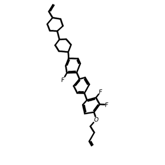 C=CCCOc1ccc(-c2ccc(-c3ccc(C4CCC(C5CCC(C=C)CC5)CC4)cc3F)cc2)c(F)c1F